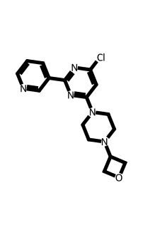 Clc1cc(N2CCN(C3COC3)CC2)nc(-c2cccnc2)n1